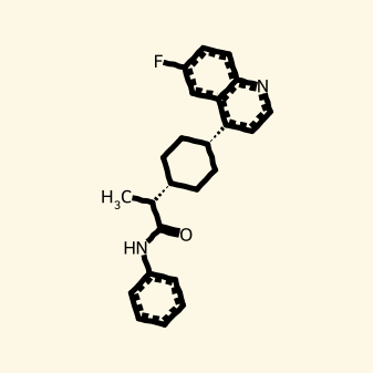 CC(C(=O)Nc1ccccc1)[C@H]1CC[C@@H](c2ccnc3ccc(F)cc32)CC1